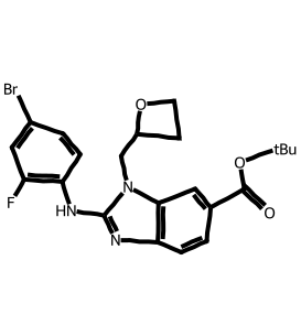 CC(C)(C)OC(=O)c1ccc2nc(Nc3ccc(Br)cc3F)n(CC3CCO3)c2c1